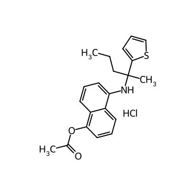 CCCC(C)(Nc1cccc2c(OC(C)=O)cccc12)c1cccs1.Cl